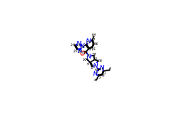 Cc1cc(C)nc(N2C=C3CN(C(=O)c4ccc(C)nc4-n4nccn4)CC3C2)n1